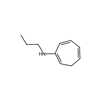 CCCNC1=CCC=CC=C1